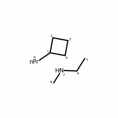 CCCC1CCC1.CCNC